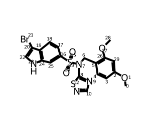 COc1ccc(CN(c2ncns2)S(=O)(=O)c2ccc3c(Br)c[nH]c3c2)c(OC)c1